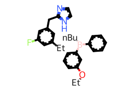 CCCCB(c1ccccc1)c1cccc(OCC)c1.CCc1cc(F)cc(Cc2ncc[nH]2)c1